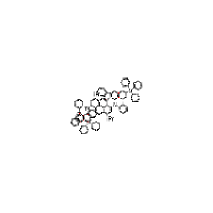 CC(C)c1cc(N(c2ccccc2-c2cccc([Si](c3ccccc3)(c3ccccc3)c3ccccc3)c2)c2cccc3c2oc2ccccc23)c2ccc3c(C(C)C)cc(N(c4ccccc4-c4cccc([Si](c5ccccc5)(c5ccccc5)c5ccccc5)c4)c4cccc5c4oc4ccccc45)c4ccc1c2c34